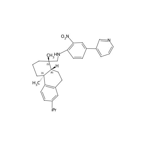 CC(C)c1ccc2c(c1)CC[C@H]1[C@@](C)(CNc3ccc(-c4cccnc4)cc3[N+](=O)[O-])CCC[C@]21C